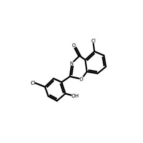 O=c1nc(-c2cc(Cl)ccc2O)oc2cccc(Cl)c12